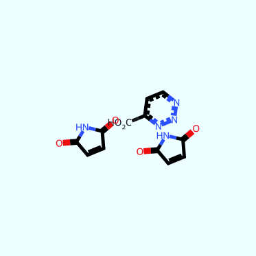 O=C(O)c1ccnnn1.O=C1C=CC(=O)N1.O=C1C=CC(=O)N1